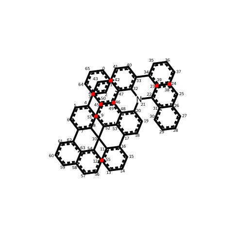 c1ccc(-c2ccc3c(c2)C2(c4ccccc4-c4ccc(N(c5cccc6ccccc56)c5c(-c6ccccc6)ccc6ccccc56)c5cccc2c45)c2cccc4cccc-3c24)cc1